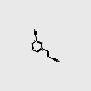 N#CC=Cc1cccc(C#N)c1